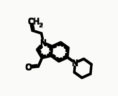 C=CCn1cc(C=O)c2cc(N3CCCCC3)ccc21